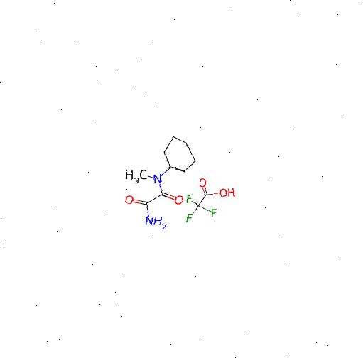 CN(C(=O)C(N)=O)C1CCCCC1.O=C(O)C(F)(F)F